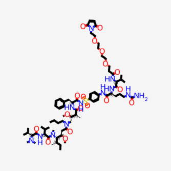 CCCCN(C[C@H](OC)[C@@H](C)C(=O)N[C@@H](Cc1ccccc1)C(=O)NS(=O)(=O)c1ccc(NC(=O)[C@H](CCCNC(N)=O)NC(=O)[C@@H](NC(=O)CCOCCOCCOCCN2C(=O)C=CC2=O)C(C)C)cc1)C(=O)C[C@@H](OC)[C@H]([C@@H](C)CC)N(C)C(=O)[C@@H](NC(=O)[C@H](C(C)C)N(C)C)C(C)C